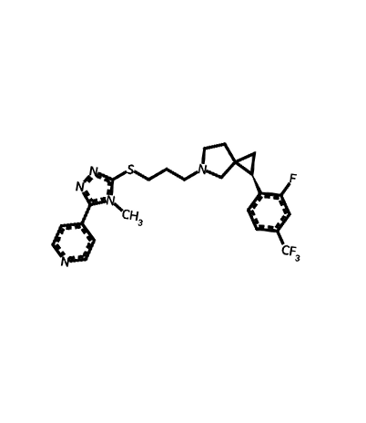 Cn1c(SCCCN2CCC3(C[C@H]3c3ccc(C(F)(F)F)cc3F)C2)nnc1-c1ccncc1